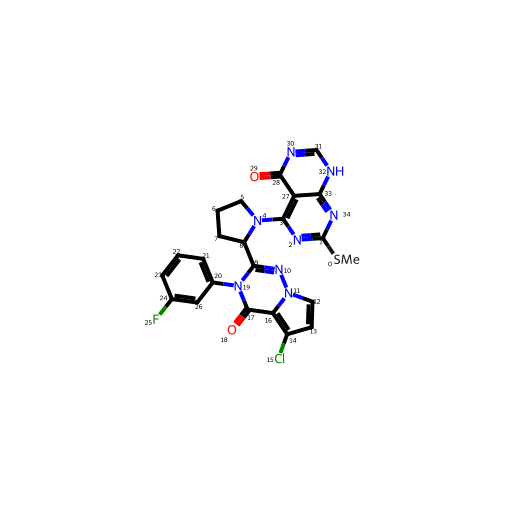 CSc1nc(N2CCCC2c2nn3ccc(Cl)c3c(=O)n2-c2cccc(F)c2)c2c(=O)nc[nH]c2n1